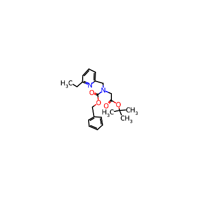 CCc1cccc(CN(CC(=O)OC(C)(C)C)C(=O)OCc2ccccc2)n1